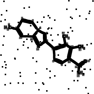 Cc1ccn2cc(-c3ccc(C(N)=O)c(C)c3C)nc2c1